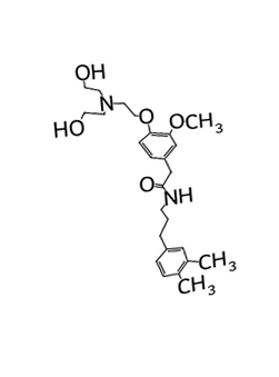 COc1cc(CC(=O)NCCCc2ccc(C)c(C)c2)ccc1OCCN(CCO)CCO